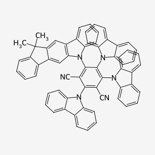 CC1(C)c2ccccc2-c2cc3c(cc21)c1ccccc1n3-c1c(C#N)c(-n2c3ccccc3c3ccccc32)c(C#N)c(-n2c3ccccc3c3ccccc32)c1-n1c2ccccc2c2ccccc21